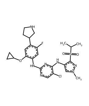 CC(C)S(=O)(=O)c1nn(C)cc1Nc1nc(Nc2cc(F)c(C3CCNC3)cc2OC2CC2)ncc1Cl